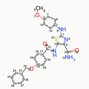 COc1ccc(Nc2nc(C(N)=O)c(NC(=O)c3ccc(OCc4ccccc4)cc3)s2)cc1